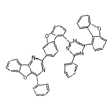 c1ccc(-c2nc(-c3cccc4oc5ccccc5c34)nc(-c3cccc4oc5cc(-c6nc(-c7ccccc7)c7oc8ccccc8c7n6)ccc5c34)n2)cc1